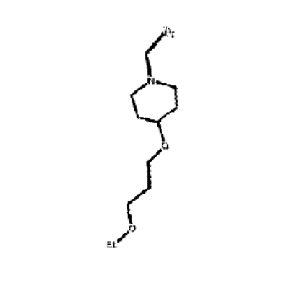 CCOCCCOC1CCN(CC(C)C)CC1